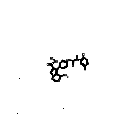 CCNC(=O)c1cn2ncnc(N)c2c1-c1ccc(NC(=O)Nc2cc(C)ccc2Cl)cc1